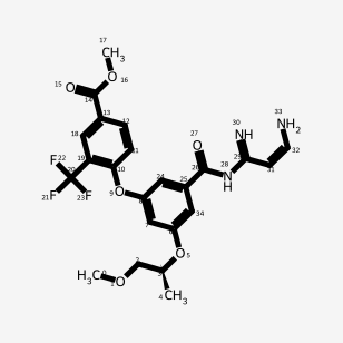 COC[C@H](C)Oc1cc(Oc2ccc(C(=O)OC)cc2C(F)(F)F)cc(C(=O)NC(=N)/C=C\N)c1